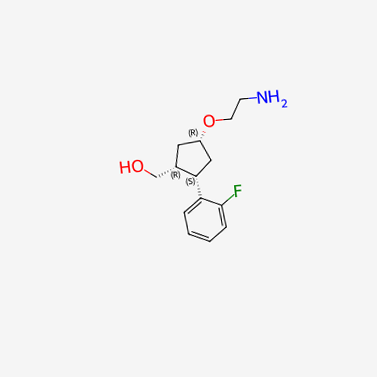 NCCO[C@H]1C[C@@H](CO)[C@@H](c2ccccc2F)C1